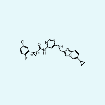 O=C(Nc1cc(NCc2cn3cc(C4CC4)ccc3n2)ncn1)[C@H]1C[C@@H]1c1cc(Cl)ccc1F